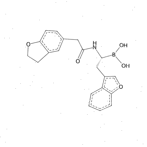 O=C(Cc1ccc2c(c1)CCO2)N[C@@H](Cc1coc2ccccc12)B(O)O